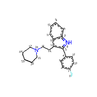 Fc1ccc(-c2[nH]c3ccccc3c2CCN2CCCCC2)cc1